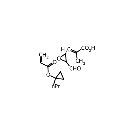 C=C(C)C(=O)O.C=CC(=O)OC1(CCC)CC1.O=CC1CO1